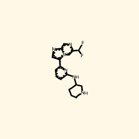 FC(F)c1cn2c(-c3cccc(NC4CCCNC4)n3)cnc2cn1